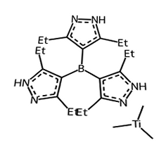 CCc1n[nH]c(CC)c1B(c1c(CC)n[nH]c1CC)c1c(CC)n[nH]c1CC.[CH3][Ti]([CH3])[CH3]